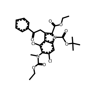 CCOC(=O)c1c(CC(=O)c2ccccc2)c2c(Cl)c(N(C)C(=O)OCC)c(Cl)cc2n1C(=O)OC(C)(C)C